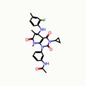 CC(=O)Nc1cccc(-n2c(=O)n(C3CC3)c(=O)c3c(Nc4ccc(C)cc4F)c(C)c(=O)n(C)c32)c1